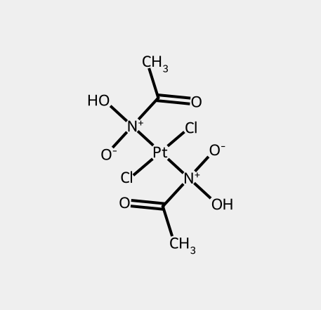 CC(=O)[N+]([O-])(O)[Pt]([Cl])([Cl])[N+]([O-])(O)C(C)=O